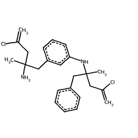 C=C(Cl)CC(C)(N)Cc1cccc(NC(C)(CC(=C)Cl)Cc2ccccc2)c1